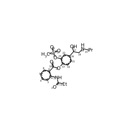 CCC(=O)Nc1ccccc1C(=O)Oc1ccc(C(O)CNC(C)C)cc1OS(C)(=O)=O